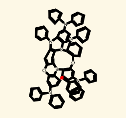 c1ccc(N(c2ccccc2)c2cc3c4c(c2)N(c2ccccc2)c2cc(N(c5ccccc5)c5ccccc5)cc5c2B4c2cc4c(cc2O3)N(c2ccccc2)c2cc(N(c3ccccc3)c3ccccc3)cc3c2B4c2c(cccc2N3c2ccccc2)O5)cc1